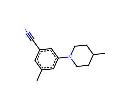 Cc1cc(C#N)cc(N2CCC(C)CC2)c1